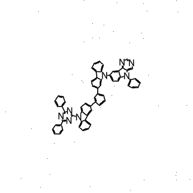 c1ccc(-c2nc(-c3ccccc3)nc(-n3c4ccccc4c4cc(-c5cccc(-c6ccc7c8ccccc8n(-c8ccc9c(c8)c8ncncc8n9-c8ccccc8)c7c6)c5)ccc43)n2)cc1